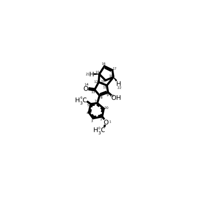 COc1ccc(C)c(C2=C(O)C3C(C2=O)[C@@H]2C=C[C@H]3C2)c1